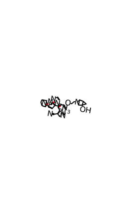 Cn1ccnc1CN1CC2CC(C1)N2c1ccc(-c2cc(OCCN3CC4CC4(O)C3)cn3ncc(C#N)c23)cn1